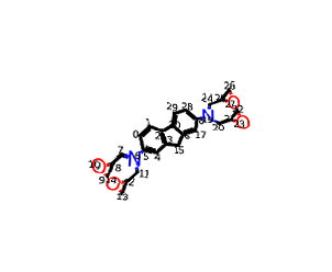 c1cc2c(cc1N(CC1CO1)CC1CO1)Cc1cc(N(CC3CO3)CC3CO3)ccc1-2